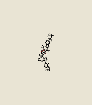 C[C@H]1c2c(nn(C34CC(C3)C4)c2-n2ccn(-c3ccc4c(cnn4C)c3F)c2=O)CCN1C(=O)c1cc2cc([C@]3(I)CCOC(C)(C)C3)ccc2n1C1(c2noc(=O)[nH]2)CC1